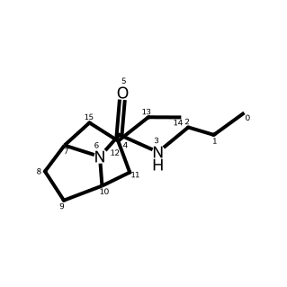 CCCNC(=O)N1C2CCC1CC(CC)C2